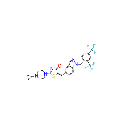 O=C1N=C(N2CCN(C3CC3)CC2)SC1=Cc1ccc2c(cnn2Cc2ccc(C(F)(F)F)cc2C(F)(F)F)c1